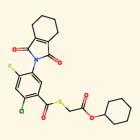 O=C(CSC(=O)c1cc(N2C(=O)C3=C(CCCC3)C2=O)c(F)cc1Cl)OC1CCCCC1